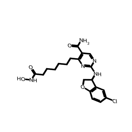 NC(=O)c1cnc(NC2COc3ccc(Cl)cc32)nc1CCCCCCC(=O)NO